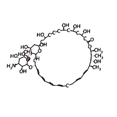 C[C@@H]1[C@H](O)[C@@H](C)/C=C/C=C/CC/C=C/C=C/C=C/C=C/[C@H](O[C@@H]2O[C@H](C)[C@@H](O)[C@H](N)[C@@H]2O)C[C@@H]2OC(O)(CC(O)CCCC(O)C[C@@H](O)CC(O)CC(=O)O[C@H]1C)C[C@H](O)[C@H]2C(=O)O